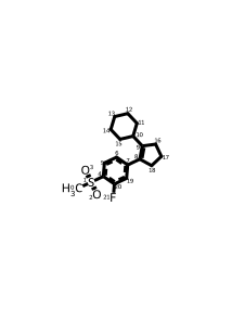 CS(=O)(=O)c1ccc(C2=C(C3CCCCC3)CCC2)cc1F